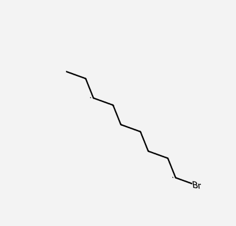 CC[CH]CCCCC[CH]Br